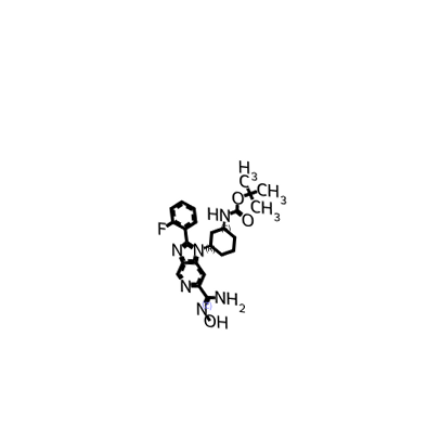 CC(C)(C)OC(=O)N[C@H]1CCC[C@@H](n2c(-c3ccccc3F)nc3cnc(/C(N)=N/O)cc32)C1